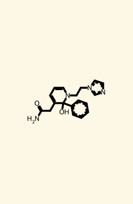 NC(=O)CC1=CC=CN(CCn2ccnc2)C1(O)c1ccccc1